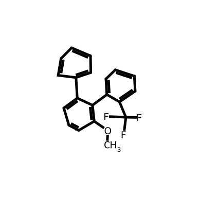 COc1[c]ccc(-c2ccccc2)c1-c1ccccc1C(F)(F)F